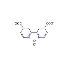 O=C([O-])c1ccnc(-c2cc(C(=O)[O-])ccn2)c1.[K+].[K+]